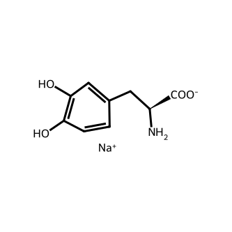 N[C@@H](Cc1ccc(O)c(O)c1)C(=O)[O-].[Na+]